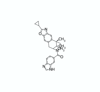 CC1(C)C2Cc3cc4oc(C5CC5)nc4cc3[C@]1(C)CCN2C(=O)c1ccc2nc[nH]c2c1